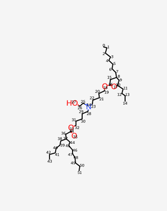 CCCCCCCCC(CCCCCC)CC(=O)OCCCCCN(CCO)CCCCCOC(=O)CC(CCCCCC)CCCCCCCC